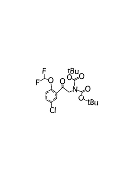 CC(C)(C)OC(=O)N(CC(=O)c1cc(Cl)ccc1OC(F)F)C(=O)OC(C)(C)C